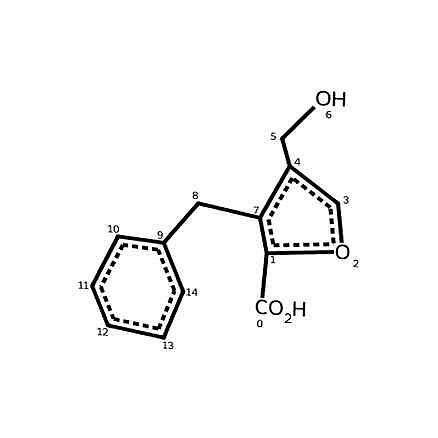 O=C(O)c1occ(CO)c1Cc1ccccc1